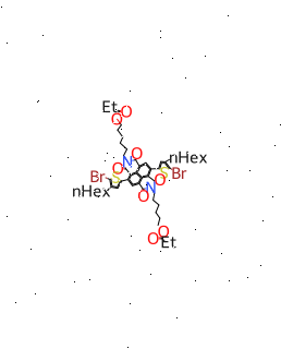 CCCCCCc1cc(-c2cc3c4c(c(-c5cc(CCCCCC)c(Br)s5)cc5c4c2C(=O)N(CCCCCCOC(=O)CC)C5=O)C(=O)N(CCCCCCOC(=O)CC)C3=O)sc1Br